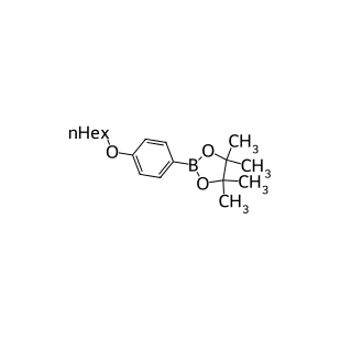 CCCCCCOc1ccc(B2OC(C)(C)C(C)(C)O2)cc1